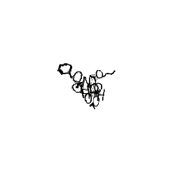 CCCCO[C@@H]1CN(C(=O)OCc2ccccc2)[C@H]2C1O[C@@H]1OC(C)(C)O[C@@H]12